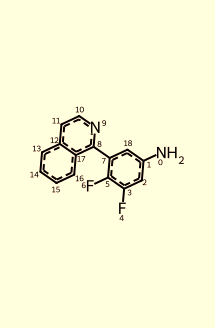 Nc1cc(F)c(F)c(-c2nccc3ccccc23)c1